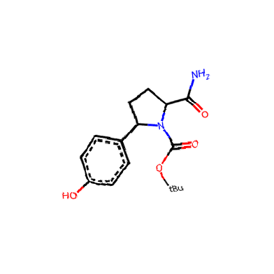 CC(C)(C)OC(=O)N1C(C(N)=O)CCC1c1ccc(O)cc1